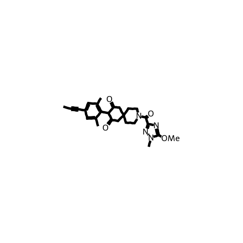 CC#Cc1cc(C)c(C2C(=O)CC3(CCN(C(=O)c4nc(OC)n(C)n4)CC3)CC2=O)c(C)c1